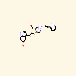 COc1ccc2nccc([C@@H](F)CC[C@@H]3CCN(CC#Cc4ccccn4)C[C@@H]3CC(=O)O)c2c1